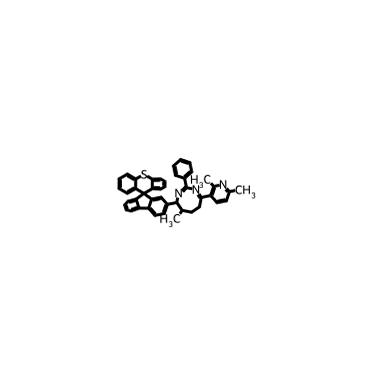 Cc1ccc(/C2=N/C(c3ccccc3)=N\C(c3ccc4c(c3)C3(c5ccccc5Sc5ccccc53)c3ccccc3-4)C(C)CC2)c(C)n1